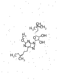 C=P(C)(C)CC[C@H]1O[C@@H](n2cnc3c(CC/C=C(/C)CC)nc(OC)nc32)[C@H](O)[C@@H]1O